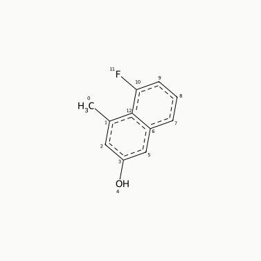 Cc1cc(O)cc2cccc(F)c12